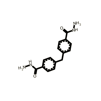 NNC(=O)c1ccc(Cc2ccc(C(=O)NN)cc2)cc1